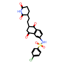 O=C1CCC(CCC2CC(=O)c3cc(NS(=O)(=O)c4ccc(Cl)cc4)ccc3C2=O)C(=O)N1